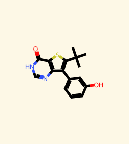 CC(C)(C)c1sc2c(=O)[nH]cnc2c1-c1cccc(O)c1